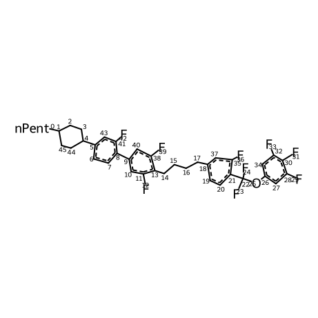 CCCCCC1CCC(c2ccc(-c3cc(F)c(CCCCc4ccc(C(F)(F)Oc5cc(F)c(F)c(F)c5)c(F)c4)c(F)c3)c(F)c2)CC1